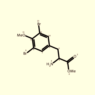 COC(=O)C(N)Cc1cc(Br)c(OC)c(Br)c1